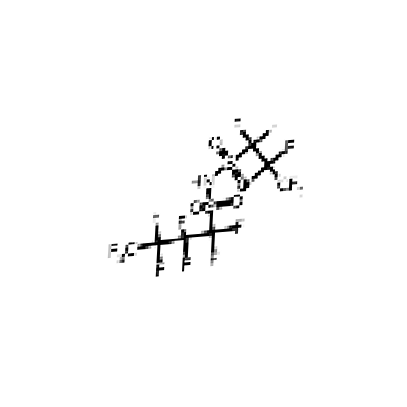 O=S(=O)(NS(=O)(=O)C(F)(F)C(F)(F)C(F)(F)C(F)(F)F)C(F)(F)C(F)(F)C(F)(F)F